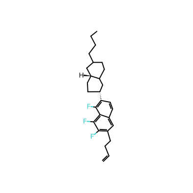 C=CCCc1cc2ccc([C@@H]3CC[C@@H]4CC(CCCC)CCC4C3)c(F)c2c(F)c1F